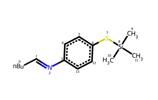 CCCCC=Nc1ccc(S[Si](C)(C)C)cc1